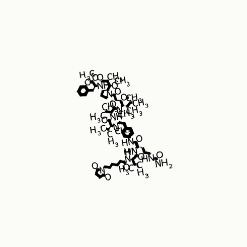 CCC(C)[C@@H]([C@@H](CC(=O)N1CCC[C@H]1[C@H](OC)[C@@H](C)C(=O)N[C@@H](Cc1ccccc1)C(=O)OC)OC)N(C)C(=O)[C@@H](NC(=O)[C@H](C(C)C)N(C)CCc1ccc(NC(=O)[C@H](CCCNC(N)=O)NC(=O)[C@@H](NC(=O)CCCCCN2C(=O)C=CC2=O)C(C)C)cc1)C(C)C